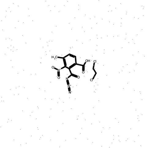 Cc1ccc(C(=O)O)c(C(=O)N=[N+]=[N-])c1[N+](=O)[O-].ClCCCl